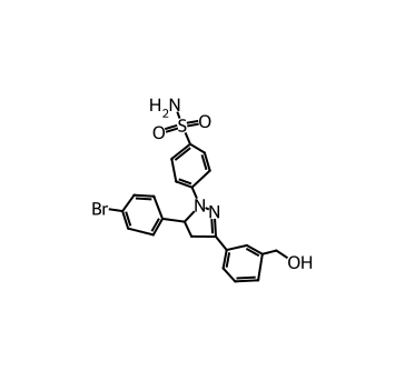 NS(=O)(=O)c1ccc(N2N=C(c3cccc(CO)c3)CC2c2ccc(Br)cc2)cc1